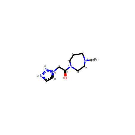 CC(C)(C)N1CCCN(C(=O)Cn2ccnn2)CC1